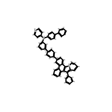 c1ccc(-c2ccc(N(c3ccncc3)c3cccc(-c4ccc(-c5ccc6c(c5)c5ccccc5c5c(-c7ccccc7)c7ccccn7c65)cc4)c3)cc2)cc1